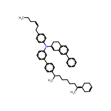 CCC/C=C\Cc1ccc(N(C2=Cc3cc(-c4ccccc4)ccc3CC2)c2cccc(-c3ccc(C(C)CCCCC/C(C)=C4/CC=CCC4)cc3)c2)cc1